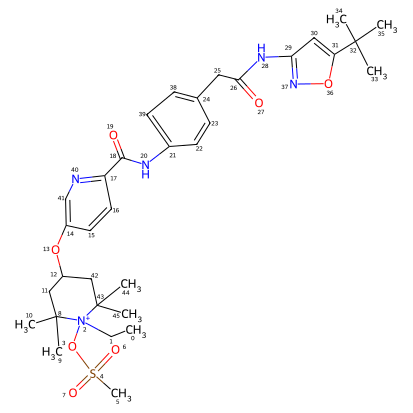 CC[N+]1(OS(C)(=O)=O)C(C)(C)CC(Oc2ccc(C(=O)Nc3ccc(CC(=O)Nc4cc(C(C)(C)C)on4)cc3)nc2)CC1(C)C